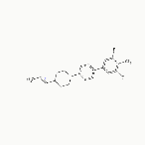 C/C=C/C1CCC(c2ccc(-c3cc(F)c(C(F)(F)F)c(F)c3)cc2)CC1